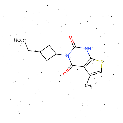 Cc1csc2[nH]c(=O)n(C3CC(CC(=O)O)C3)c(=O)c12